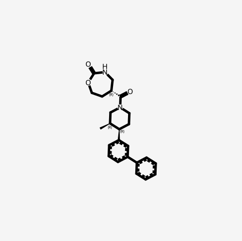 C[C@H]1CN(C(=O)[C@@H]2CCOC(=O)NC2)CC[C@H]1c1cccc(-c2ccccc2)c1